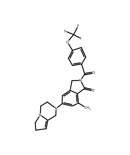 Cc1cc(N2CCN3CCC=C3C2)cc2c1C(=O)N(C(=O)c1ccc(OC(F)(F)F)cc1)C2